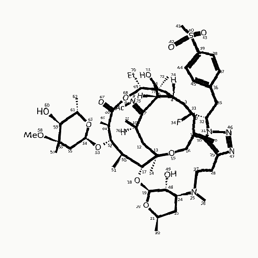 C=C1CC[C@@H]2[C@@H](C)/C(=N/C(C)=O)[C@H](C)C[C@@](C)(OC1)[C@H](O[C@@H]1O[C@H](C)C[C@H](N(C)CCc3cn([C@H](CF)Cc4ccc(S(C)(=O)=O)cc4)nn3)[C@H]1O)[C@@H](C)[C@H](O[C@H]1C[C@@](C)(OC)[C@@H](O)[C@H](C)O1)[C@@H](C)C(=O)O[C@H](CC)[C@@]2(C)O